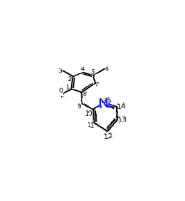 [CH]c1c(C)cc(C)cc1Cc1ccccn1